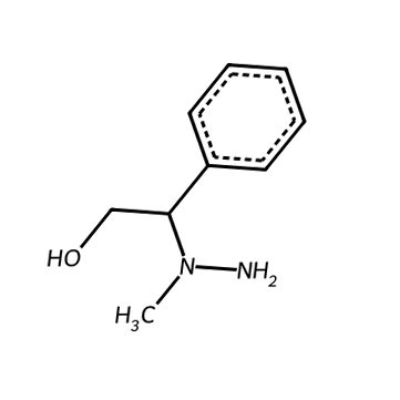 CN(N)C(CO)c1ccccc1